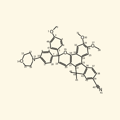 COc1ccc(C2(c3ccc(N4CCOCC4)cc3)C=Cc3c4c(c5cc(OC)c(OC)cc5c3O2)-c2ccc(C#N)cc2C4(C)C)cc1